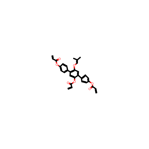 C=CC(=O)Oc1ccc(-c2cc(OC(=O)C=C)c(-c3ccc(OC(=O)C=C)cc3)cc2OC=C(C)C)cc1